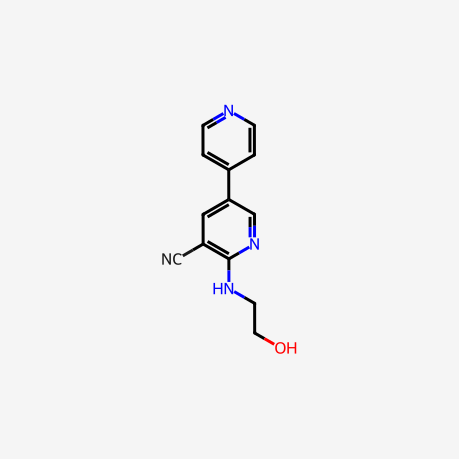 N#Cc1cc(-c2ccncc2)cnc1NCCO